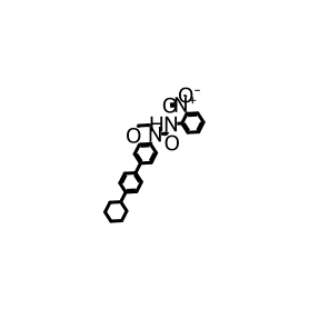 O=C(Nc1ccccc1[N+](=O)[O-])N1CCOc2cc(-c3ccc(C4CCCCC4)cc3)ccc21